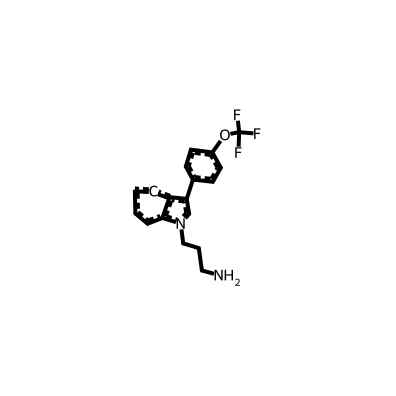 NCCCn1cc(-c2ccc(OC(F)(F)F)cc2)c2ccccc21